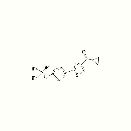 CC(C)[Si](Oc1ccc(-c2cc(C(=O)C3CC3)cs2)cc1)(C(C)C)C(C)C